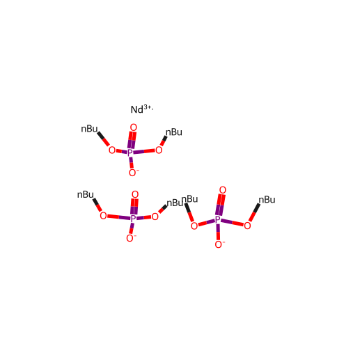 CCCCOP(=O)([O-])OCCCC.CCCCOP(=O)([O-])OCCCC.CCCCOP(=O)([O-])OCCCC.[Nd+3]